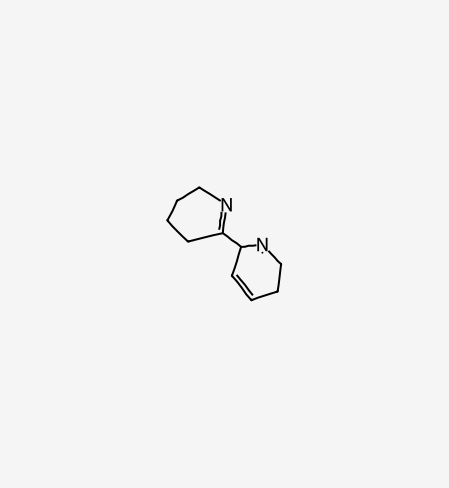 C1=CC(C2=NCCCC2)[N]CC1